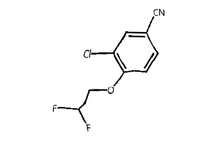 N#Cc1ccc(OCC(F)F)c(Cl)c1